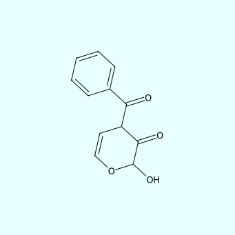 O=C(c1ccccc1)C1C=COC(O)C1=O